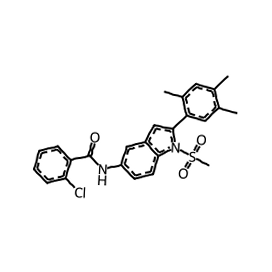 Cc1cc(C)c(-c2cc3cc(NC(=O)c4ccccc4Cl)ccc3n2S(C)(=O)=O)cc1C